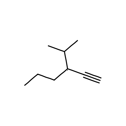 C#C[C](CCC)C(C)C